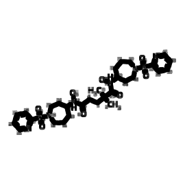 CC(C)(CCC(=O)[NH+]([O-])C1CCCN(S(=O)(=O)c2ccccn2)CC1)C(=O)[NH+]([O-])C1CCCN(S(=O)(=O)c2ccccn2)CC1